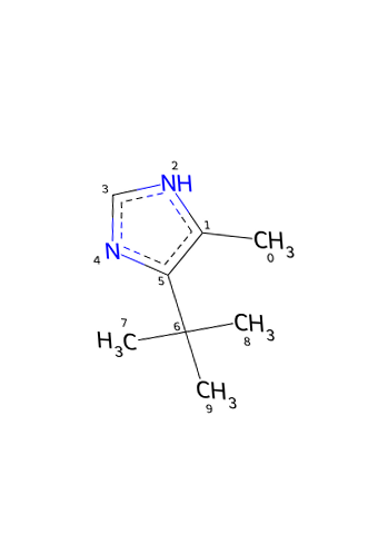 Cc1[nH]cnc1C(C)(C)C